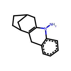 NN1C2=C(Cc3ccccc31)C1CCC(C2)C1